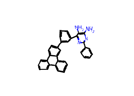 Nc1nc(-c2ccccc2)nc(-c2cccc(-c3ccc4c5ccccc5c5ccccc5c4c3)c2)c1N